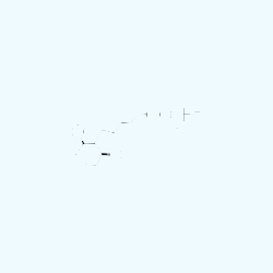 CCOC(=O)CCCCCC1C(=O)CCCC1=O